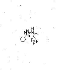 C/C=C(\CCC(F)(F)F)Nc1nnc(C2CCCCC2)s1